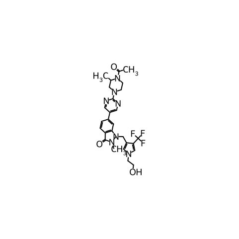 CC(=O)N1CCN(c2ncc(-c3ccc4c(=O)n(C)n(Cc5cn(CCO)cc5C(F)(F)F)c4c3)cn2)CC1C